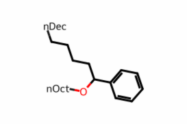 CCCCCCCCCCCCCCC(OCCCCCCCC)c1ccccc1